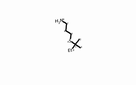 CCC(C)(C)SCCCN